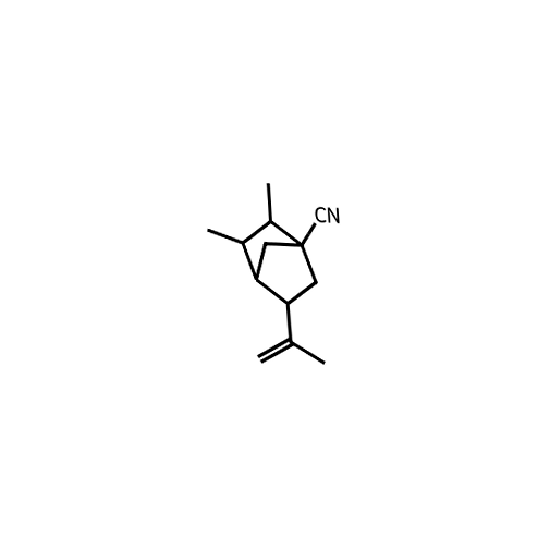 C=C(C)C1CC2(C#N)CC1C(C)C2C